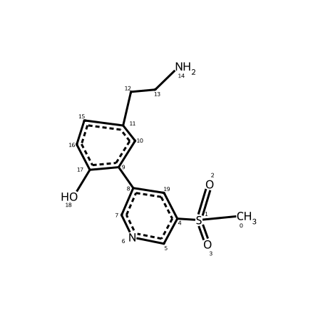 CS(=O)(=O)c1cncc(-c2cc(CCN)ccc2O)c1